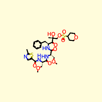 COC[C@H](NC(=O)c1cnc(C)s1)C(=O)N[C@@H](COC)C(=O)N[C@@H](Cc1ccccc1)C(=O)[C@](C)(O)COS(=O)(=O)C1CCOCC1